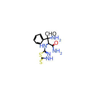 NC(=O)C(Nc1n[nH]c(=S)s1)C(N)(C=O)c1ccccc1